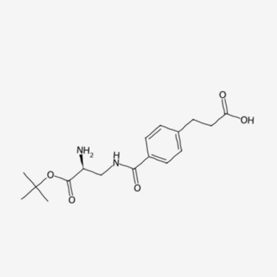 CC(C)(C)OC(=O)[C@@H](N)CNC(=O)c1ccc(CCC(=O)O)cc1